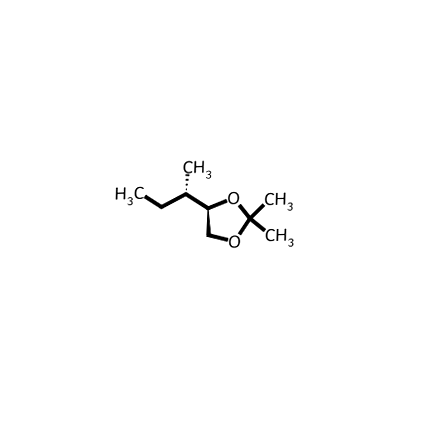 CC[C@H](C)[C@@H]1COC(C)(C)O1